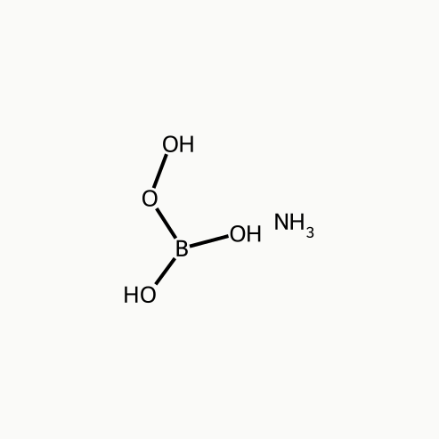 N.OOB(O)O